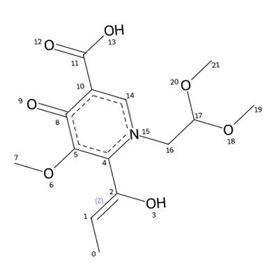 C/C=C(\O)c1c(OC)c(=O)c(C(=O)O)cn1CC(OC)OC